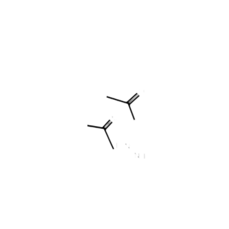 CC(C)=O.CC(C)=O.N.N